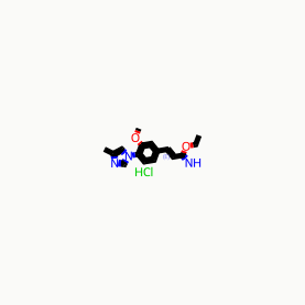 CCOC(=N)/C=C/c1ccc(-n2cnc(C)c2)c(OC)c1.Cl